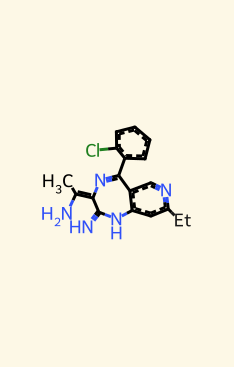 CCc1cc2c(cn1)C(c1ccccc1Cl)=N/C(=C(\C)N)C(=N)N2